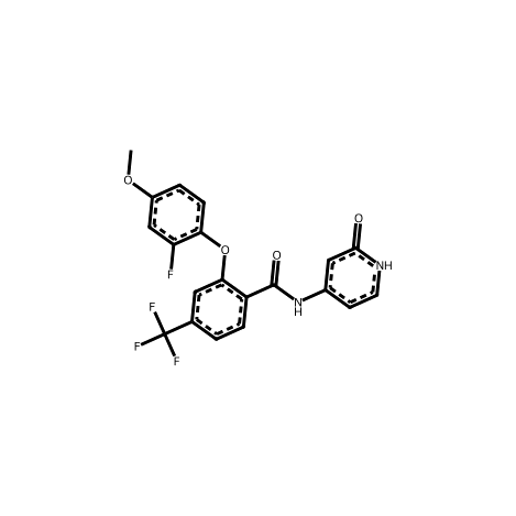 COc1ccc(Oc2cc(C(F)(F)F)ccc2C(=O)Nc2cc[nH]c(=O)c2)c(F)c1